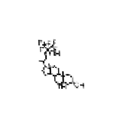 CC(CCC(O)(C(F)(F)F)C(F)(F)F)C1CCC2C3C[C@H](C)[C@@H]4C[C@H](O)CCC4(C)C3CCC12C